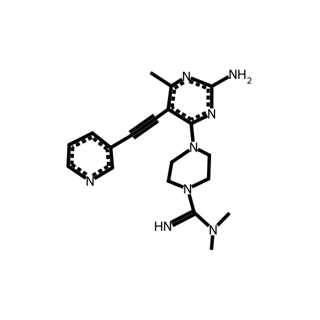 Cc1nc(N)nc(N2CCN(C(=N)N(C)C)CC2)c1C#Cc1cccnc1